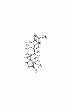 CC(=O)OC[C@]12CCC(=O)C[C@@H]1CC[C@@H]1[C@@H]2CC[C@]2(C)C(=O)CC[C@@H]12